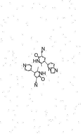 Cc1[nH]c(=O)c(C#N)cc1-c1ccc2nccn2c1.Cc1[nH]c(=O)c(C#N)cc1-c1ccncc1